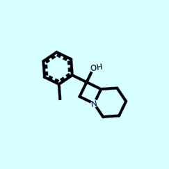 Cc1ccccc1C1(O)CN2CCCCC21